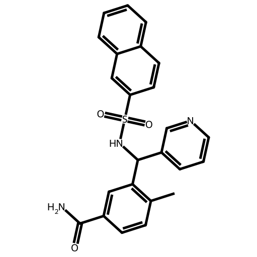 Cc1ccc(C(N)=O)cc1C(NS(=O)(=O)c1ccc2ccccc2c1)c1cccnc1